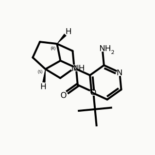 CC(C)(C)OC(=O)NC1[C@@H]2CC[C@H]1CN(c1cccnc1N)C2